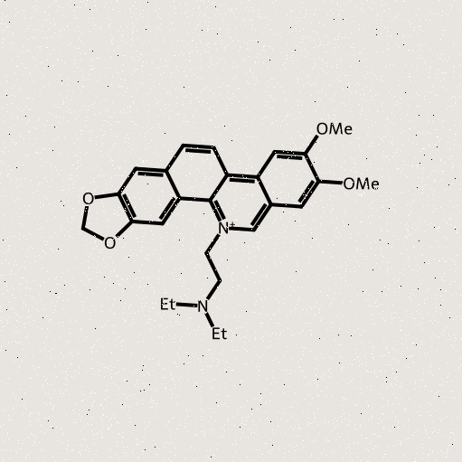 CCN(CC)CC[n+]1cc2cc(OC)c(OC)cc2c2ccc3cc4c(cc3c21)OCO4